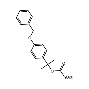 CCCCCCCCC(=O)OC(C)(C)c1ccc(OCc2ccccc2)cc1